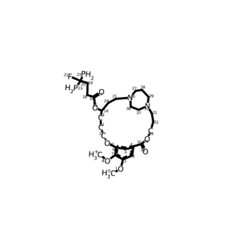 COc1cc2cc(c1OC)OCCCC(OC(=O)CCC(F)(P)P)CCN1CCCN(CCCOC2=O)CC1